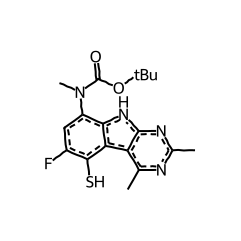 Cc1nc(C)c2c(n1)[nH]c1c(N(C)C(=O)OC(C)(C)C)cc(F)c(S)c12